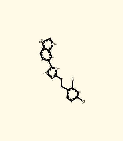 Clc1ccc(CCc2nnc(-c3ccc4[nH]cnc4c3)o2)c(Cl)c1